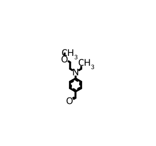 CCN(CCOC)c1ccc(C=O)cc1